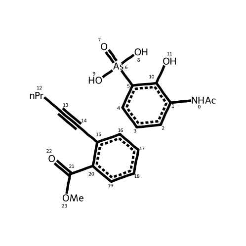 CC(=O)Nc1cccc([As](=O)(O)O)c1O.CCCC#Cc1ccccc1C(=O)OC